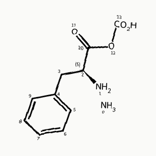 N.N[C@@H](Cc1ccccc1)C(=O)OC(=O)O